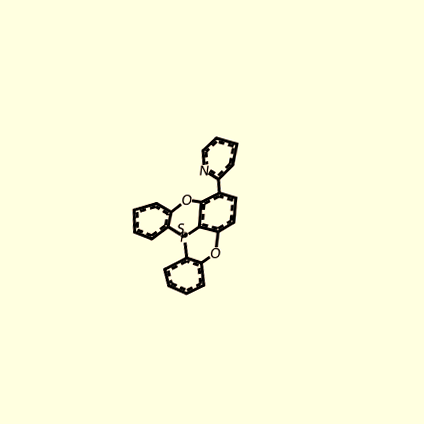 S=P12c3ccccc3Oc3ccc(-c4ccccn4)c(c31)Oc1ccccc12